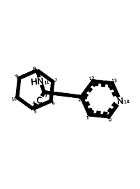 c1cc(C2CC3CCC(CC3)N2)ccn1